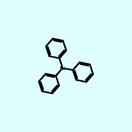 c1cc[c]([Ru]([c]2ccccc2)[c]2ccccc2)cc1